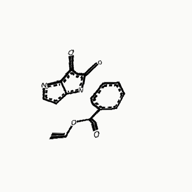 C=COC(=O)c1ccccc1.O=c1nc2ccnc-2c1=O